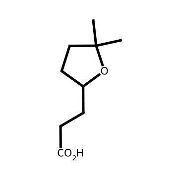 CC1(C)CCC(CCC(=O)O)O1